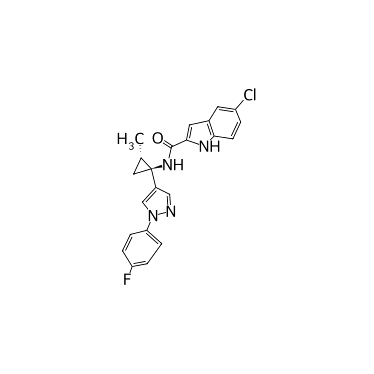 C[C@H]1C[C@@]1(NC(=O)c1cc2cc(Cl)ccc2[nH]1)c1cnn(-c2ccc(F)cc2)c1